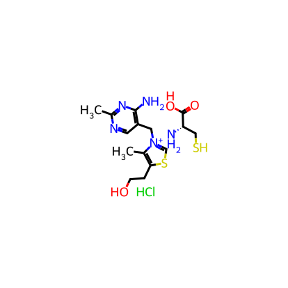 Cc1ncc(C[n+]2csc(CCO)c2C)c(N)n1.Cl.N[C@@H](CS)C(=O)O